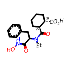 CCN(C(=O)[C@H]1CCCC[C@@H]1C(=O)O)C(Cc1ccccc1)C(=O)NO